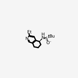 CCc1cc2c(cn1)CCC[C@@H]2N[S@@+]([O-])C(C)(C)C